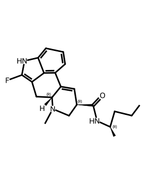 CCC[C@@H](C)NC(=O)[C@@H]1C=C2c3cccc4[nH]c(F)c(c34)C[C@H]2N(C)C1